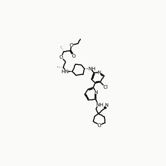 CCOC(=O)[C@@H](C)OC[C@@H](C)N[C@H]1CC[C@H](Nc2cc(-c3cccc(NCC4(C#N)CCOCC4)n3)c(Cl)cn2)CC1